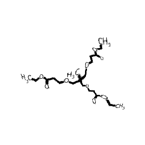 CCOC(=O)CCOCC(C)(COCCC(=O)OCC)COCCC(=O)OCC